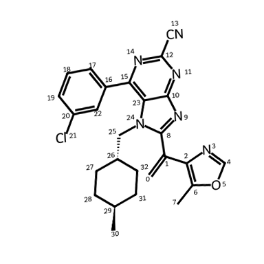 C=C(c1ncoc1C)c1nc2nc(C#N)nc(-c3cccc(Cl)c3)c2n1C[C@H]1CC[C@H](C)CC1